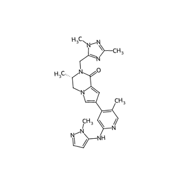 Cc1nc(CN2C(=O)c3cc(-c4cc(Nc5ccnn5C)ncc4C)cn3C[C@@H]2C)n(C)n1